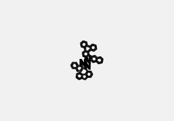 c1ccc2c(c1)Cc1cccc(-c3nc(-n4c5cc6ccccc6cc5c5c6c7ccccc7c7ccccc7c6ccc54)nc4c3ccc3ccccc34)c1-2